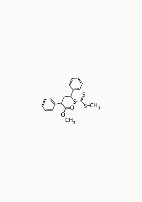 COC(=O)C(CC(SC(=S)SC)c1ccccc1)c1ccccc1